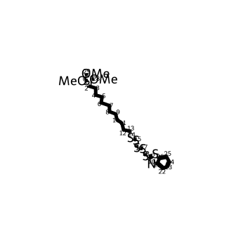 CO[Si](CCCCCCCCCCCCSSSSSc1nc2ccccc2s1)(OC)OC